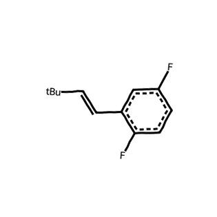 CC(C)(C)/C=C/c1cc(F)ccc1F